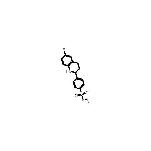 NS(=O)(=O)c1ccc(C2CCc3cc(F)ccc3N2)cc1